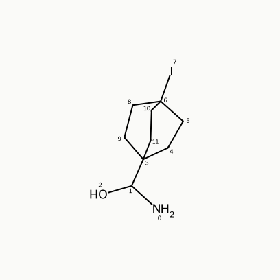 NC(O)C12CCC(I)(CC1)CC2